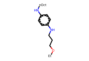 CCCCCCCCNc1ccc(NCCCOCC)cc1